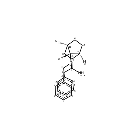 NC(Cc1ccccc1)[C@H]1C[C@H]2CC[C@@H]1[C@@H]2OCc1ccccc1